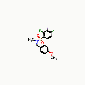 COc1ccc(CN(C)S(=O)(=O)c2ccc(F)c(I)c2F)cc1